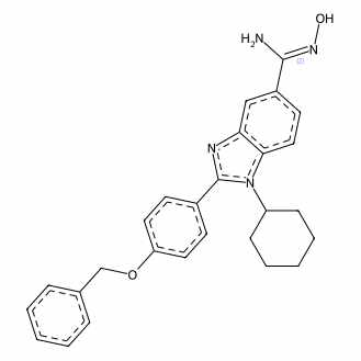 N/C(=N\O)c1ccc2c(c1)nc(-c1ccc(OCc3ccccc3)cc1)n2C1CCCCC1